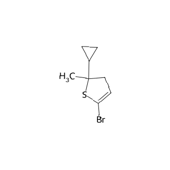 CC1(C2CC2)CC=C(Br)S1